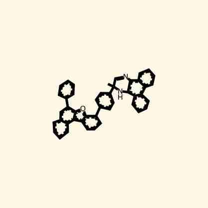 CC1(c2ccc(-c3cccc4c3oc3c(-c5ccccc5)cc5ccccc5c34)cc2)C=Nc2c(c3ccccc3c3ccccc23)N1